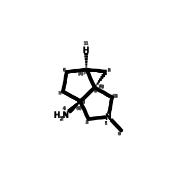 CN1C[C@]2(N)CC[C@H]3C[C@@]32C1